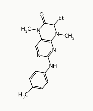 CCC1C(=O)N(C)c2cnc(Nc3ccc(C)cc3)nc2N1C